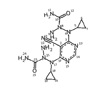 N#Cc1c(N(C2CC2)N(N)C(N)=O)ncnc1N(C1CC1)N(N)C(N)=O